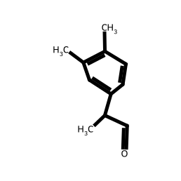 Cc1ccc(C(C)C=O)cc1C